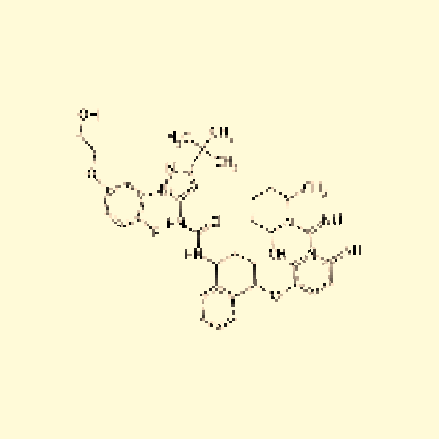 CC1CCCC(C)N1C(=N)n1cc(OC2CCC(NC(=O)Nc3cc(C(C)(C)C)nn3-c3cc(OCCO)ccc3F)c3ccccc32)ccc1=N